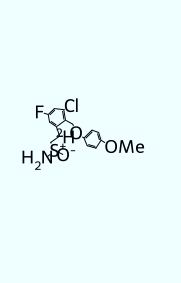 [2H][C@@H](C[S+](N)[O-])c1cc(F)cc(Cl)c1COc1ccc(OC)cc1